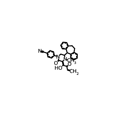 C=CC(=O)/C(O)=C1/C(=O)N(c2ccc(C#N)cc2)CC(C2c3ccccc3CCc3ccccc32)N1C